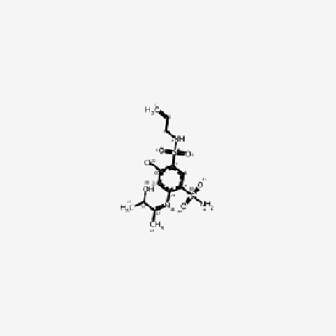 C=CCNS(=O)(=O)c1cc(S(N)(=O)=O)c(N=C(C)C(C)O)cc1Cl